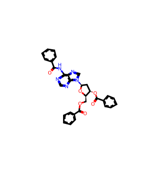 O=C(Nc1ncnc2c1ncn2[C@H]1C[C@H](OC(=O)c2ccccc2)[C@@H](COC(=O)c2ccccc2)O1)c1ccccc1